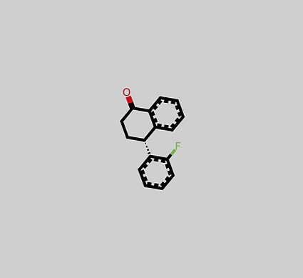 O=C1CC[C@@H](c2ccccc2F)c2ccccc21